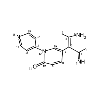 CC(=N)/C(=C(/C)N)c1ccc(=O)n(-c2ccncc2)c1